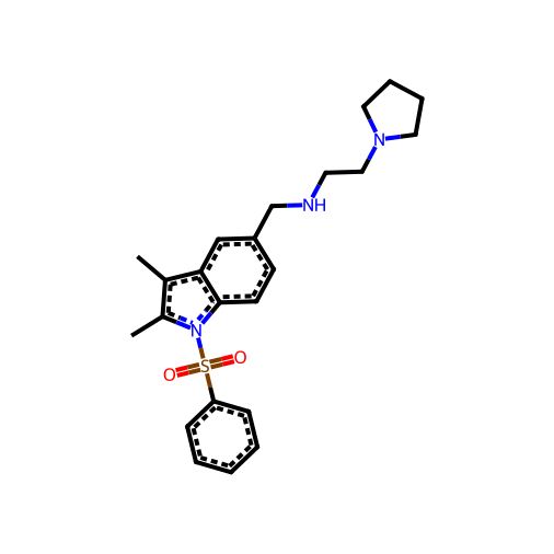 Cc1c(C)n(S(=O)(=O)c2ccccc2)c2ccc(CNCCN3CCCC3)cc12